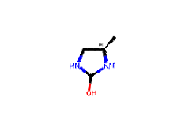 C[C@@H]1CNC(O)N1